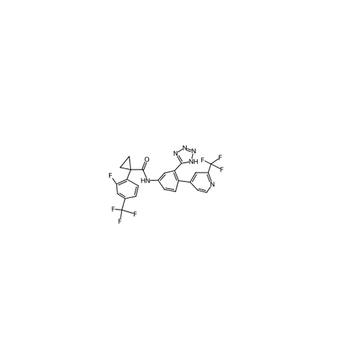 O=C(Nc1ccc(-c2ccnc(C(F)(F)F)c2)c(-c2nnn[nH]2)c1)C1(c2ccc(C(F)(F)F)cc2F)CC1